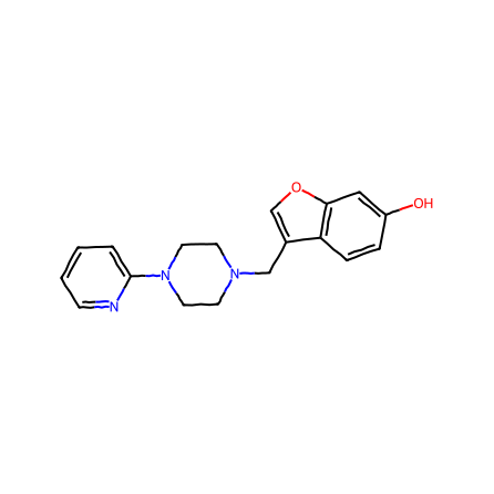 Oc1ccc2c(CN3CCN(c4ccccn4)CC3)coc2c1